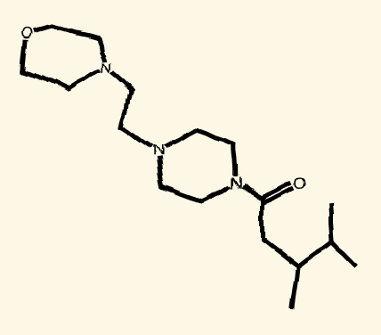 CC(C)C(C)CC(=O)N1CCN(CCN2CCOCC2)CC1